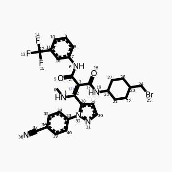 CN/C(=C(\C(=O)Nc1cccc(C(F)(F)F)c1)C(=O)NC1CCC(CBr)CC1)c1ccnn1-c1ccc(C#N)cc1